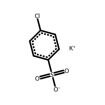 O=S(=O)([O-])c1ccc(Cl)cc1.[K+]